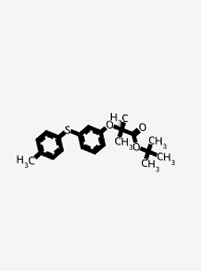 Cc1ccc(Sc2cccc(OC(C)(C)C(=O)OC(C)(C)C)c2)cc1